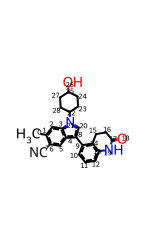 Cc1cc2c(cc1C#N)c(-c1cccc3c1CCC(=O)N3)cn2C1CCC(O)CC1